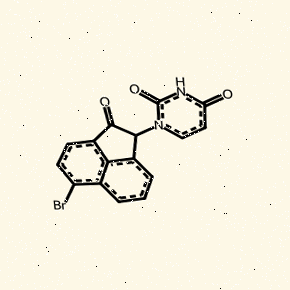 O=C1c2ccc(Br)c3cccc(c23)C1n1ccc(=O)[nH]c1=O